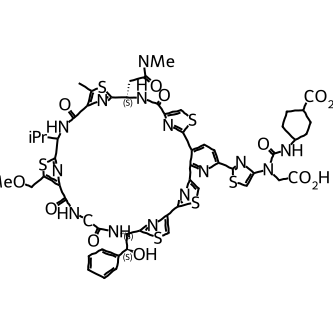 CNC(=O)C[C@@H]1NC(=O)c2csc(n2)-c2ccc(-c3nc(N(CC(=O)O)C(=O)NC4CCC(C(=O)O)CC4)cs3)nc2-c2csc(n2)-c2csc(n2)[C@H]([C@@H](O)c2ccccc2)NC(=O)CNC(=O)c2nc(sc2COC)C(C(C)C)NC(=O)c2nc1sc2C